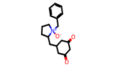 O=C1CC(=O)CC(CC2CCC[N+]2([O-])Cc2ccccc2)C1